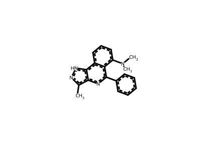 Cc1n[nH]c2c1nc(-c1ccccc1)c1c(N(C)C)cccc12